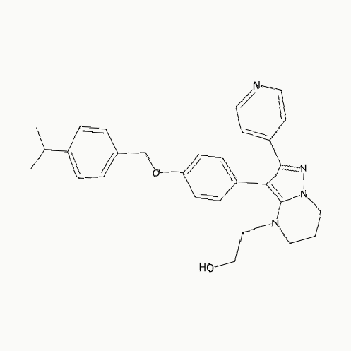 CC(C)c1ccc(COc2ccc(-c3c(-c4ccncc4)nn4c3N(CCO)CCC4)cc2)cc1